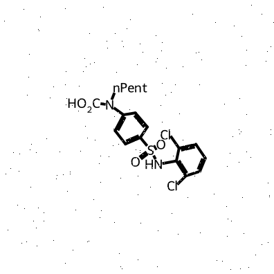 CCCCCN(C(=O)O)c1ccc(S(=O)(=O)Nc2c(Cl)cccc2Cl)cc1